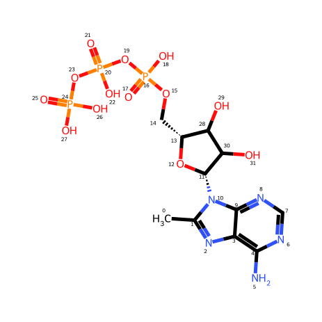 Cc1nc2c(N)ncnc2n1[C@@H]1O[C@H](COP(=O)(O)OP(=O)(O)OP(=O)(O)O)C(O)C1O